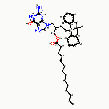 CCCCCCCCCCCCCC(=O)OCC(CC[Si](c1ccccc1)(c1ccccc1)C(C)(C)C)CN1CNc2c1nc(N)[nH]c2=O